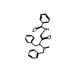 CN(Cc1ccccc1)C(Cc1ccccc1)C(=O)CNC(=O)c1ccccc1